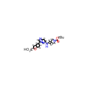 CC(C)(C)OC(=O)N1CCC2(CC1)CC(Nc1ccc3ncc(-c4ccc5oc(C(=O)O)cc5c4)n3n1)C2